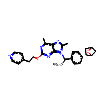 C1CC2CC1O2.COC(c1ccccc1)n1c(C)nc2c(C)nc(OCCc3ccncc3)nc21